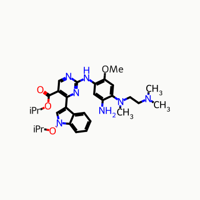 COc1cc(N(C)CCN(C)C)c(N)cc1Nc1ncc(C(=O)OC(C)C)c(-c2cn(OC(C)C)c3ccccc23)n1